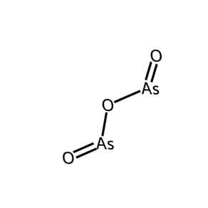 O=[As]O[As]=O